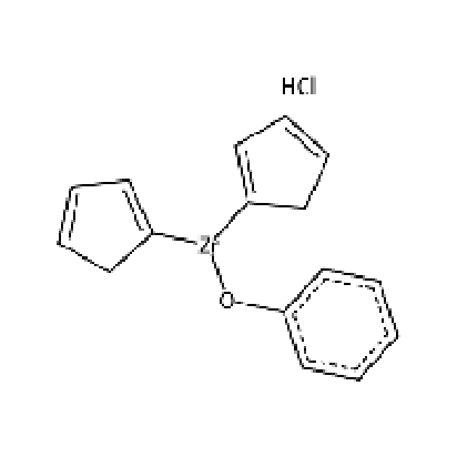 C1=CC[C]([Zr]([O]c2ccccc2)[C]2=CC=CC2)=C1.Cl